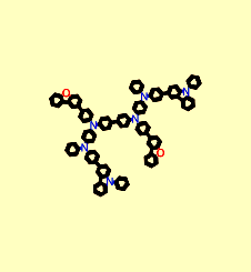 c1ccc(N(c2ccc(-c3ccc4c(c3)c3ccccc3n4-c3ccccc3)cc2)c2ccc(N(c3ccc(-c4ccc(N(c5ccc(-c6ccc7oc8ccccc8c7c6)cc5)c5ccc(N(c6ccccc6)c6ccc(-c7ccc8c(c7)c7ccccc7n8-c7ccccc7)cc6)cc5)cc4)cc3)c3ccc(-c4ccc5oc6ccccc6c5c4)cc3)cc2)cc1